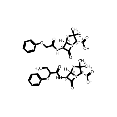 CC1(C)S[C@@H]2[C@H](NC(=O)COc3ccccc3)C(=O)N2[C@H]1C(=O)O.CCC(Oc1ccccc1)C(=O)N[C@@H]1C(=O)N2[C@@H]1SC(C)(C)[C@@H]2C(=O)O